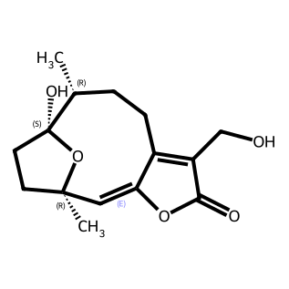 C[C@@H]1CCC2=C(CO)C(=O)O/C2=C/[C@@]2(C)CC[C@]1(O)O2